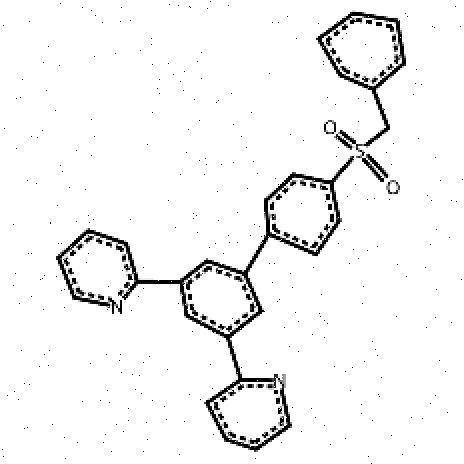 O=S(=O)(Cc1ccccc1)c1ccc(-c2cc(-c3ccccn3)cc(-c3ccccn3)c2)cc1